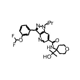 CC(C)n1nc(-c2cccc(OC(F)F)c2)c2ncc(C(=O)NC3(C(C)(C)O)CCOCC3)cc21